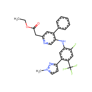 CCOC(=O)Cc1cc(-c2ccccc2)c(Nc2cc(-c3ccn(C)n3)c(C(F)(F)F)cc2F)cn1